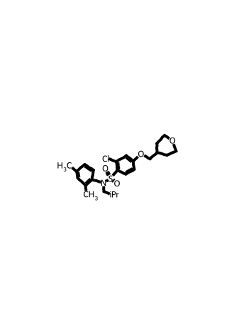 Cc1ccc(N(CC(C)C)S(=O)(=O)c2ccc(OCC3CCOCC3)cc2Cl)c(C)c1